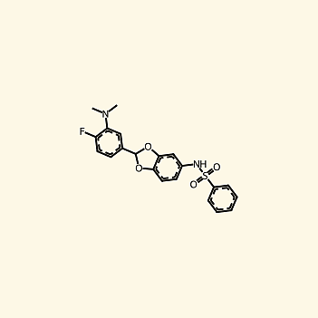 CN(C)c1cc(C2Oc3ccc(NS(=O)(=O)c4ccccc4)cc3O2)ccc1F